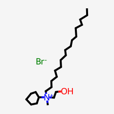 CCCCCCCCCCCCCCCCC[N+](C)(CCO)C1CCCCC1.[Br-]